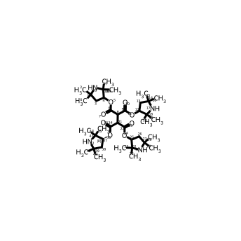 CC1(C)CC(OC(=O)C(C(=O)OC2CC(C)(C)NC2(C)C)C(C(=O)OC2CC(C)(C)NC2(C)C)C(=O)O[C@@H]2CC(C)(C)NC2(C)C)C(C)(C)N1